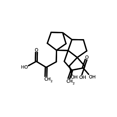 C=C(CC12CCC(C1)C1CCC(CO)(CO)C12CC(=C)C(=O)O)C(=O)O